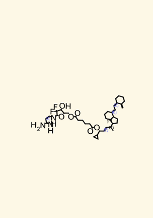 C=C1CCCC/C1=C/C=C1\CCC[C@@]2(C)C1CCC2[C@@H](C)/C=C/C(OC(=O)CCCCC(=O)OCC1OC(N/C=C\C(=N)N)C(F)(F)C1O)C1CC1